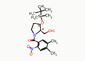 Cc1cc(C(=O)N2CC[C@H](O[Si](C)(C)C(C)(C)C)[C@H]2CO)c([N+](=O)[O-])cc1C